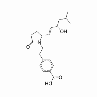 CC(C)C[C@H](O)/C=C/[C@H]1CCC(=O)N1CCc1ccc(C(=O)O)cc1